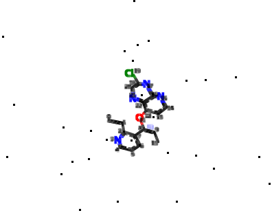 C=Cc1ncccc1/C(=C\C)Oc1ccnc2nc(Cl)cnc12